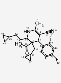 CC1=C(C#N)C(c2ccc(F)cc2Cl)C(CC2CC2)(C(=O)O)C(CCC2CC2)N1